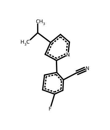 CC(C)c1ccnc(-c2ccc(F)cc2C#N)c1